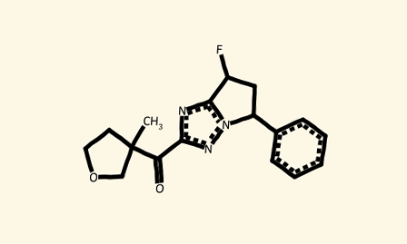 CC1(C(=O)c2nc3n(n2)C(c2ccccc2)CC3F)CCOC1